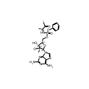 C[C@H](NP(=O)(OC[C@H]1O[C@@H](n2cnc3c(N)nc(N)nc32)[C@](C)(Cl)[C@@H]1O)Oc1ccccc1)C(=O)I